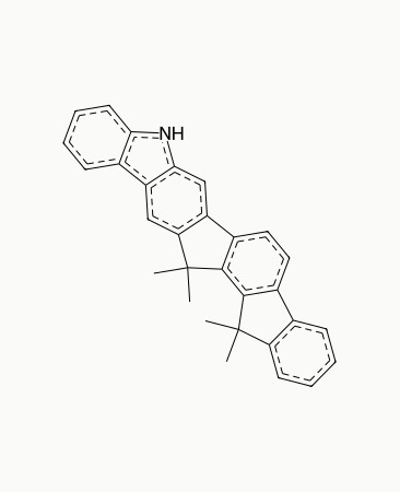 CC1(C)c2ccccc2-c2ccc3c(c21)C(C)(C)c1cc2c(cc1-3)[nH]c1ccccc12